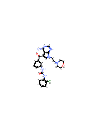 Nc1ncnc2c1c(C(=O)c1cccc(NC(=O)Nc3ccccc3Cl)c1)cn2CCN1CCOCC1